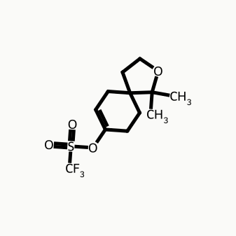 CC1(C)OCCC12CC=C(OS(=O)(=O)C(F)(F)F)CC2